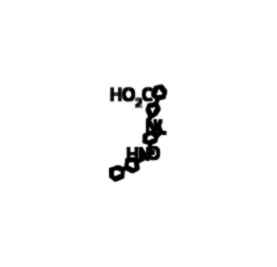 Cc1c(C)n(Cc2ccc(-c3ccccc3C(=O)O)cc2)c2ccc(C(=O)NCc3ccc(-c4ccccc4)cc3)cc12